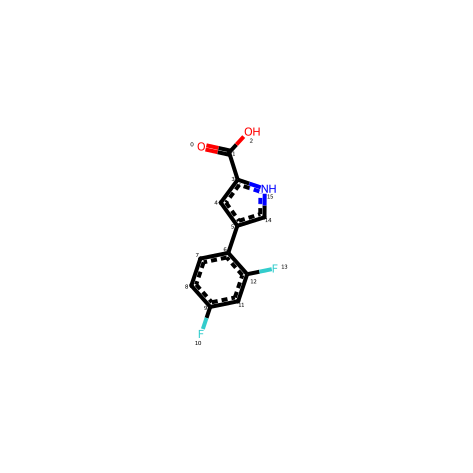 O=C(O)c1cc(-c2ccc(F)cc2F)c[nH]1